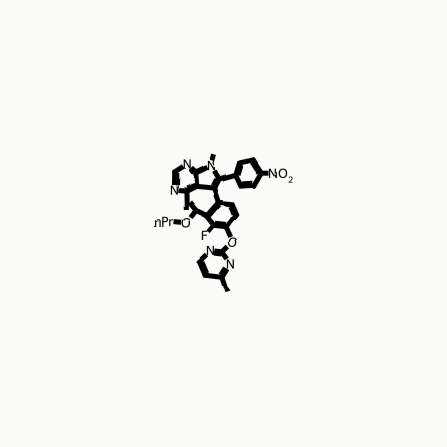 CCCOC(C)c1c(-c2c(-c3ccc([N+](=O)[O-])cc3)n(C)c3ncnc(C)c23)ccc(Oc2nccc(C)n2)c1F